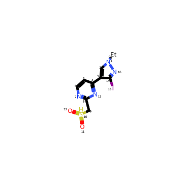 CCn1cc(-c2ccnc(C[SH](=O)=O)n2)c(I)n1